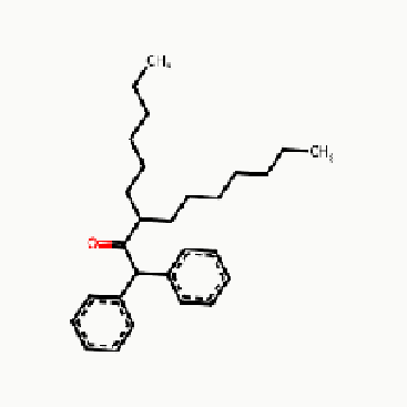 CCCCCCCC(CCCCCC)C(=O)C(c1ccccc1)c1ccccc1